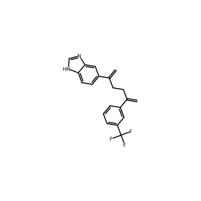 C=C(CCC(=C)c1ccc2[nH]cnc2c1)c1cccc(C(F)(F)F)c1